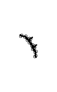 C=CC(=O)OCCCCOC(=O)C1CCC(C(=O)Oc2ccc(OC(=O)C3CCC(C(=O)Oc4ccc(OC(=O)C5CCC(C(=O)OCCCCOC(=O)C=C)CC5)c(C(=O)OCCCC)c4)CC3)cc2C(=O)OCCCC)CC1